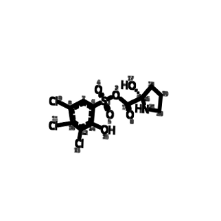 O=C(OS(=O)(=O)c1cc(Cl)c(Cl)c(Cl)c1O)[C@@]1(O)CCCN1